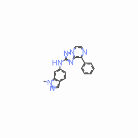 Cn1ncc2ccc(Nc3nc4c(-c5ccccc5)nccn4n3)cc21